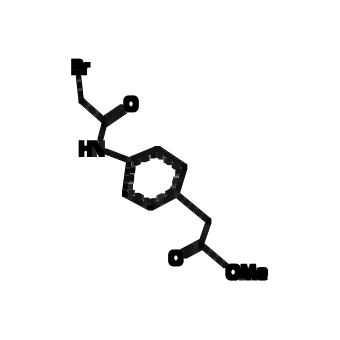 COC(=O)Cc1ccc(NC(=O)CBr)cc1